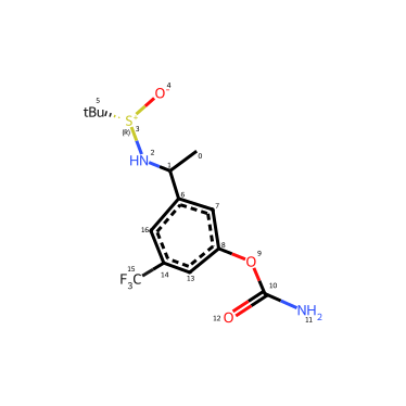 CC(N[S@@+]([O-])C(C)(C)C)c1cc(OC(N)=O)cc(C(F)(F)F)c1